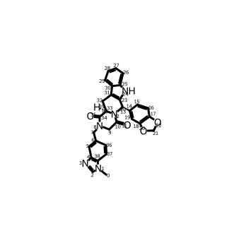 Cn1cnc2cc(CN3CC(=O)N4[C@H](c5ccc6c(c5)OCO6)c5[nH]c6ccccc6c5C[C@@H]4C3=O)ccc21